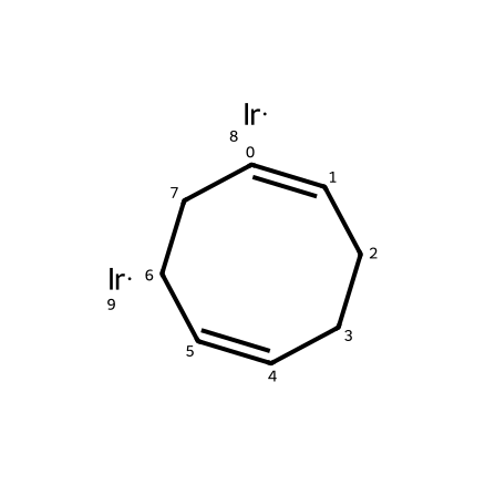 C1=C\CC/C=C\CC/1.[Ir].[Ir]